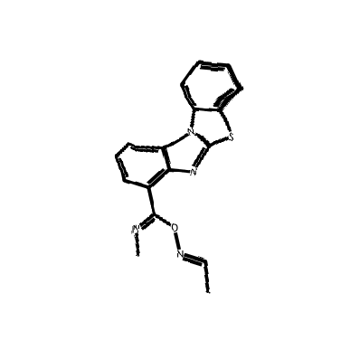 C/C=N/O/C(=N\C)c1cccc2c1nc1sc3ccccc3n12